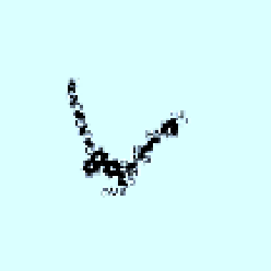 COC(=O)C[C@H](NC(=O)CNC(=O)CCCCNc1cc(C)ccn1)c1ccc(-c2ccc(OCCOCCOCCOCCN=[N+]=[N-])c3ccccc23)cc1